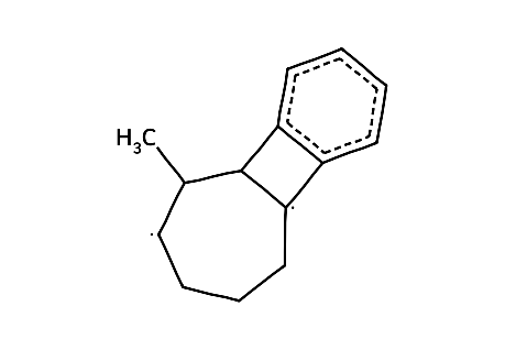 CC1[CH]CCC[C]2c3ccccc3C21